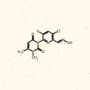 Cc1cc(=O)n(-c2nc(/C=N/O)c(Cl)cc2F)c(=O)n1C